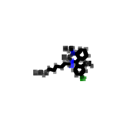 CCOC(=O)CCCCCCNC(c1ccc(Br)cc1C)c1ccccc1N(C)C